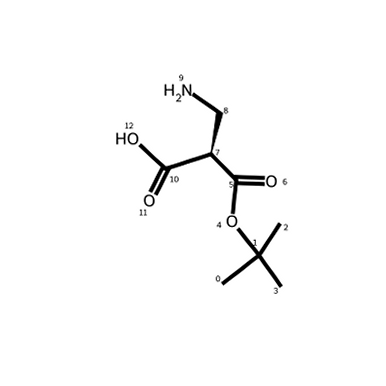 CC(C)(C)OC(=O)[C@H](CN)C(=O)O